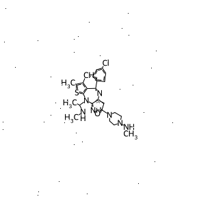 CNC(C)N1C(=N)[C@H](CC(=O)N2CCN(NC)CC2)N=C(c2ccc(Cl)cc2)c2c1sc(C)c2C